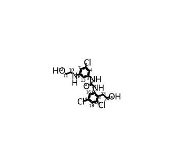 O=C(Nc1cc(Cl)cc(NCCO)c1)Nc1cc(Cl)cc(Cl)c1CCO